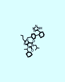 CCCc1nc2c(c(=O)n(CC(C)C)c(=O)n2C(C)c2ccccc2)n1Cc1ccc(-c2ccccc2-c2nnn[nH]2)cc1